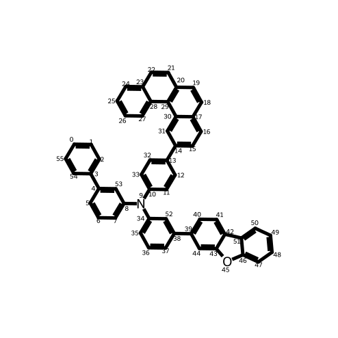 c1ccc(-c2cccc(N(c3ccc(-c4ccc5ccc6ccc7ccccc7c6c5c4)cc3)c3cccc(-c4ccc5c(c4)oc4ccccc45)c3)c2)cc1